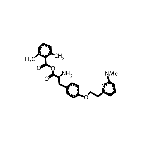 CNc1cccc(CCOc2ccc(C[C@H](N)C(=O)OC(=O)c3c(C)cccc3C)cc2)n1